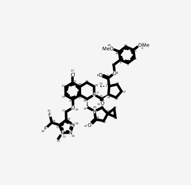 COc1ccc(COC(=O)[C@@]2(C)CCC[C@H]2C(=O)N2CCc3c(Cl)ccc(OCc4nnn(C)c4C(F)F)c3[C@H]2CN2CC3(CC3)CC2=O)c(OC)c1